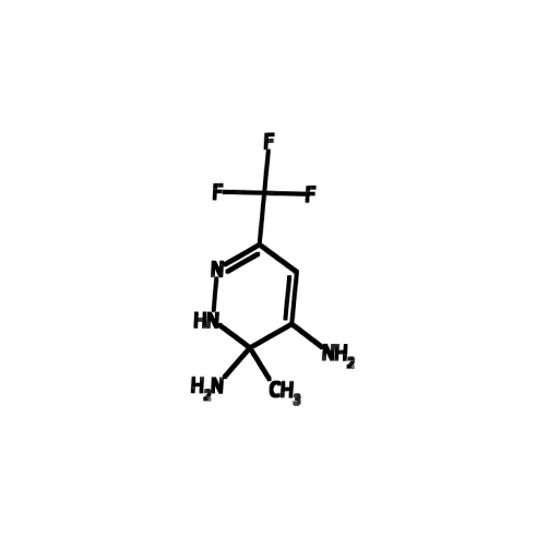 CC1(N)NN=C(C(F)(F)F)C=C1N